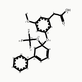 COc1cc(CC(=O)O)cc(OC2(OC(F)(F)F)C=CC=C(c3ccccc3)C2)c1